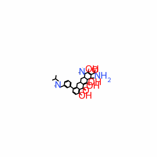 CC(C)CN(C)Cc1cccc(-c2ccc(O)c3c2CC2CC4C(C(O)=C2C3=O)C(C)(O)C(C(N)=O)=C(O)[C@H]4N(C)C)c1